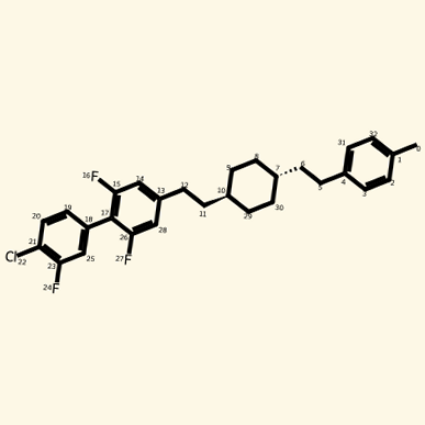 Cc1ccc(CC[C@H]2CC[C@H](CCc3cc(F)c(-c4ccc(Cl)c(F)c4)c(F)c3)CC2)cc1